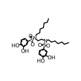 CCCCCCCN(CCN(CCCCCCC)S(=O)(=O)c1ccc(O)c(O)c1)S(=O)(=O)c1ccc(O)c(O)c1